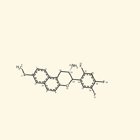 CSc1ccc2c3c(ccc2c1)OC(c1cc(F)c(F)cc1F)[C@@H](N)C3